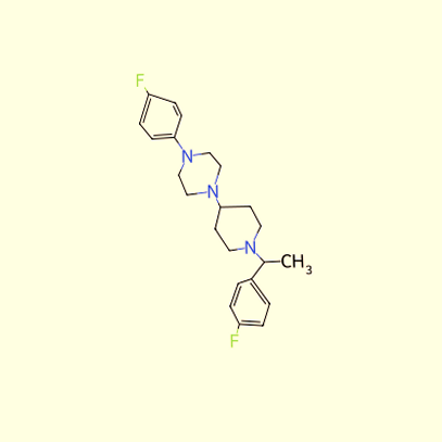 CC(c1ccc(F)cc1)N1CCC(N2CCN(c3ccc(F)cc3)CC2)CC1